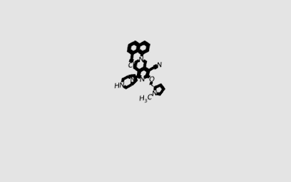 C#Cc1cccc2cccc(N3CCc4c(N5C6CCC5CNC6)nc(OC[C@@H]5CCCN5C)c(C#N)c4C3)c12